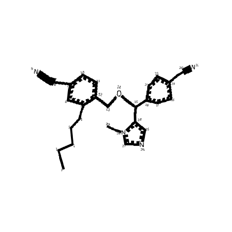 CCCCCc1cc(C#N)ccc1COC(c1ccc(C#N)cc1)c1cncn1C